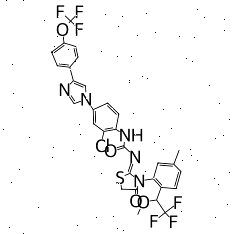 COC(c1ccc(C)cc1N1C(=O)CS/C1=N\C(=O)Nc1ccc(-n2cnc(-c3ccc(OC(F)(F)F)cc3)c2)cc1Cl)C(F)(F)F